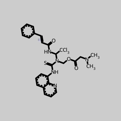 CN(C)CC(=O)OCN(C(=S)Nc1cccc2cccnc12)C(NC(=O)/C=C/c1ccccc1)C(Cl)(Cl)Cl